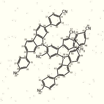 Cc1cc(-c2cc(-n3c4cc(-c5ccc(C#N)cc5)ccc4c4ccc(-c5ccc(C#N)cc5)cc43)c(C#N)cc2-n2c3cc(-c4ccc(C#N)cc4)ccc3c3ccc(-c4ccc(C#N)cc4)cc32)cc(C)n1